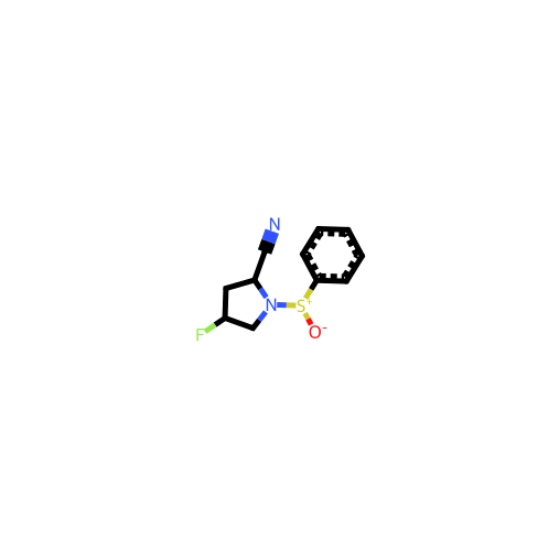 N#CC1CC(F)CN1[S+]([O-])c1ccccc1